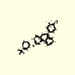 CC(C)(C)N1CCC[C@@H](Nc2ncc3c(n2)-c2ccccc2[C@H](c2ccc(Cl)c(Cl)c2)C3)C1